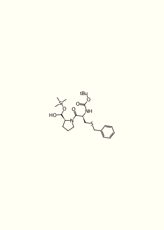 CC(C)(C)OC(=O)N[C@@H](CSCc1ccccc1)C(=O)N1CCC[C@H]1C(O)O[Si](C)(C)C